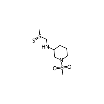 CS(=S)CNC1CCCN(S(C)(=O)=O)C1